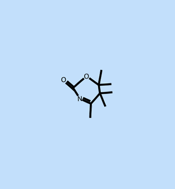 CC1=NC(=O)OC(C)(C)C1(C)C